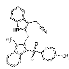 Cc1ccc(S(=O)(=O)n2c(Cc3[nH]c4ccccc4c3CC#N)c(C)c3ccccc32)cc1